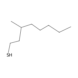 CCCCCC(C)CCS